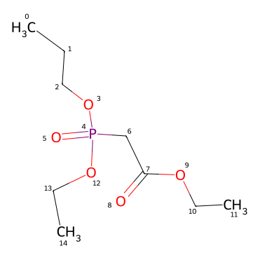 CCCOP(=O)(CC(=O)OCC)OCC